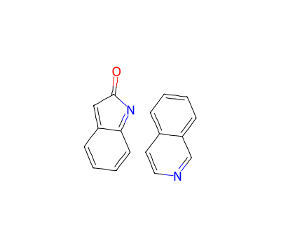 O=C1C=c2ccccc2=N1.c1ccc2cnccc2c1